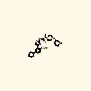 COc1ccc(C2CCCCC2)cc1-c1csc(NC(=O)NN2CCN(C[C@@H]3CCCN(C)C3)CC2)n1